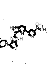 CN(C)c1cncc(-c2ccc3[nH]nc(-c4nc5c(N6CCCCC6)cncc5[nH]4)c3n2)c1